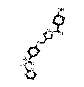 O=C(c1ccc(O)cc1)N1CC(CSc2ccc(S(=O)(=O)Nc3ncccn3)cc2)C=N1